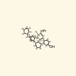 CCCC1=CC(c2ccc(O)cc2)=C(c2ccccc2)C(c2cnn(Cc3ccccc3)c2)C1C